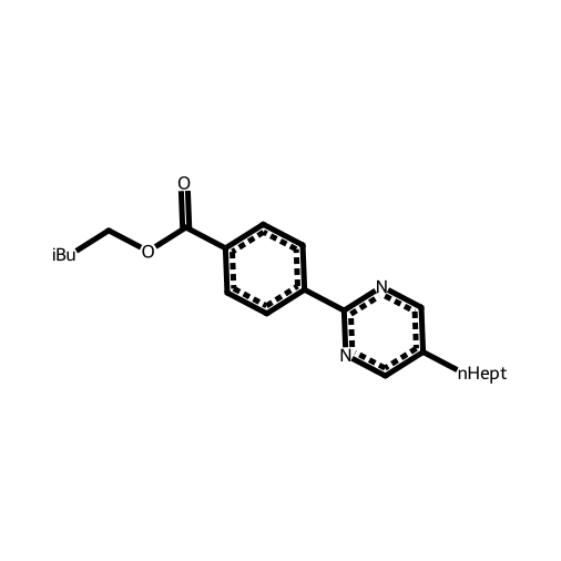 CCCCCCCc1cnc(-c2ccc(C(=O)OCC(C)CC)cc2)nc1